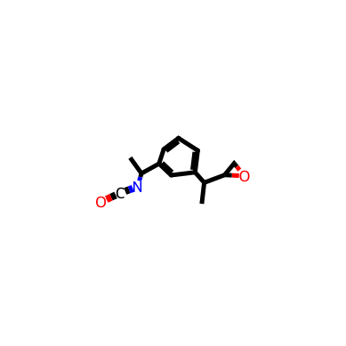 CC(N=C=O)c1cccc(C(C)C2CO2)c1